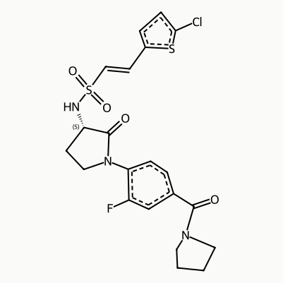 O=C(c1ccc(N2CC[C@H](NS(=O)(=O)C=Cc3ccc(Cl)s3)C2=O)c(F)c1)N1CCCC1